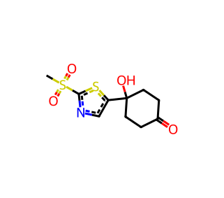 CS(=O)(=O)c1ncc(C2(O)CCC(=O)CC2)s1